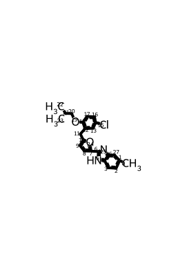 Cc1ccc2[nH]c(-c3ccc(Cc4cc(Cl)ccc4OCC(C)C)o3)nc2c1